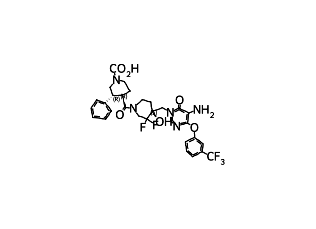 Nc1c(Oc2cccc(C(F)(F)F)c2)ncn(C[C@@]2(O)CCN(C(=O)[C@@H]3CCN(C(=O)O)C[C@H]3c3ccccc3)CC2(F)F)c1=O